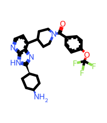 N[C@H]1CC[C@@H](c2nc3c(C4CCN(C(=O)c5ccc(OC(F)(F)F)cc5)CC4)ccnc3[nH]2)CC1